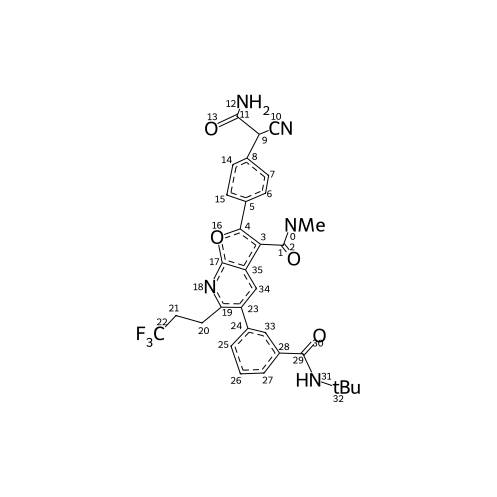 CNC(=O)c1c(-c2ccc(C(C#N)C(N)=O)cc2)oc2nc(CCC(F)(F)F)c(-c3cccc(C(=O)NC(C)(C)C)c3)cc12